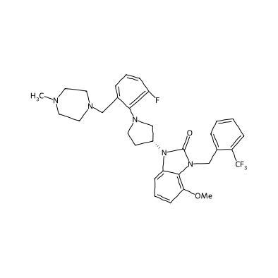 COc1cccc2c1n(Cc1ccccc1C(F)(F)F)c(=O)n2[C@@H]1CCN(c2c(F)cccc2CN2CCN(C)CC2)C1